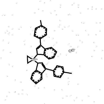 Cc1ccc(C2=C[CH]([Zr+2]3([CH]4C=C(c5ccc(C)cc5)c5ccccc54)[CH2][CH2]3)c3ccccc32)cc1.[Cl-].[Cl-]